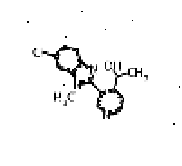 CC(O)c1ccncc1-c1nc2ccc(Cl)cc2n1C